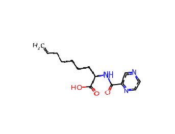 C=CCCCCCC(NC(=O)c1cnccn1)C(=O)O